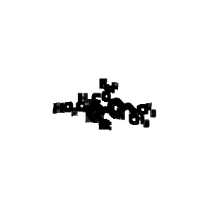 CCOC(=O)c1nn(CC)c(-c2cnc(C[C@H](C)C(F)(F)F)cc2OC(F)F)c1C